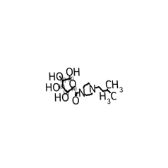 CC(C)CCN1CCN(C(=O)[C@H]2O[C@@H](O)[C@H](O)[C@@H](O)[C@@H]2O)CC1